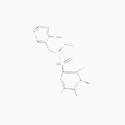 O=C(O)CN(Cc1ccccc1F)S(=O)(=O)c1cc(F)c(F)c(F)c1F